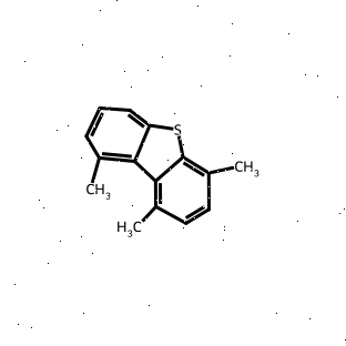 Cc1ccc(C)c2c1sc1cccc(C)c12